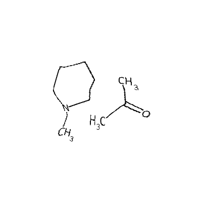 CC(C)=O.CN1CCCCC1